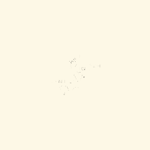 Cc1cc(F)c(C(=O)NC2CC2)cc1-c1cnc(NCCO)c(-c2cnn(C)c2)c1